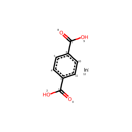 O=C(O)c1ccc(C(=O)O)cc1.[In]